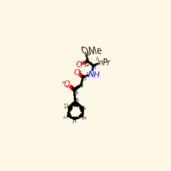 CCCC(NC(=O)CC(=O)c1ccccc1)C(=O)OC